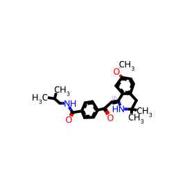 COc1ccc2c(c1)/C(=C/C(=O)c1ccc(C(=O)NCC(C)C)cc1)NC(C)(C)C2